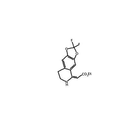 CCOC(=O)/C=C1/NCCc2cc3c(cc21)OC(F)(F)O3